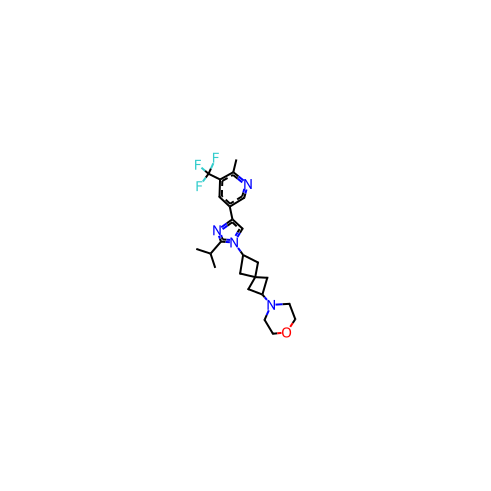 Cc1ncc(-c2cn(C3CC4(CC(N5CCOCC5)C4)C3)c(C(C)C)n2)cc1C(F)(F)F